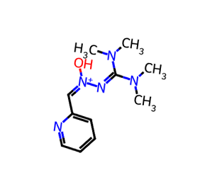 CN(C)C(=N/[N+](O)=C\c1ccccn1)N(C)C